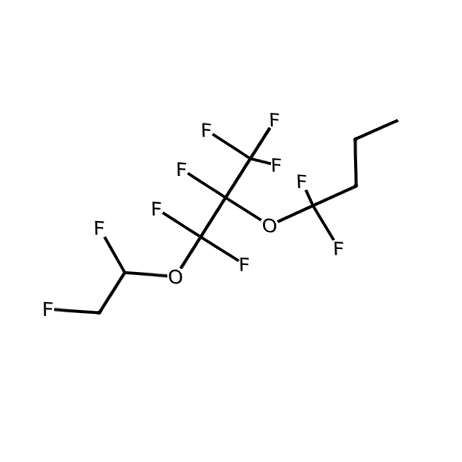 CCCC(F)(F)OC(F)(C(F)(F)F)C(F)(F)OC(F)CF